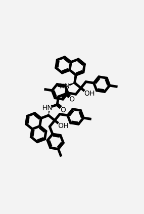 Cc1ccc(CC(O)(Cc2ccc(C)cc2)[C@@H](NC(=O)CC(=O)N[C@@H](c2cccc3ccccc23)C(O)(Cc2ccc(C)cc2)Cc2ccc(C)cc2)c2cccc3ccccc23)cc1